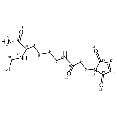 NC(=O)C(CCCCNC(=O)CCN1C(=O)C=CC1=O)NCI